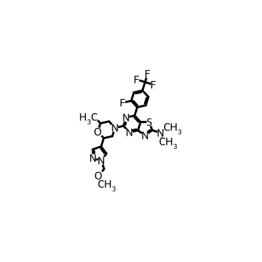 COCn1cc(C2CN(c3nc(-c4ccc(C(F)(F)F)cc4F)c4sc(N(C)C)nc4n3)CC(C)O2)cn1